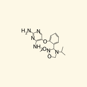 CON1OCN(C(C)C)C1c1ccccc1Oc1cnc(N)nc1N